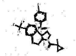 CC1(C(=O)N2CC[C@]3(S(=O)(=O)c4ccc(F)cc4)c4ccc(C(F)(C(F)(F)F)C(F)(F)F)cc4CC[C@H]23)CC1